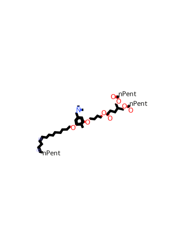 CCCCC/C=C\C/C=C\CCCCCCCCOc1cc(CN(C)C)cc(OCCCCOC(=O)CCC(COC(=O)CCCCC)COC(=O)CCCCC)c1C